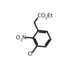 CCOC(=O)Cc1cccc(Cl)c1[N+](=O)[O-]